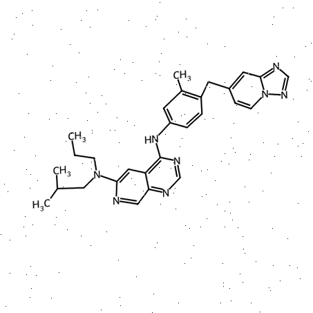 CCCN(CC(C)C)c1cc2c(Nc3ccc(Cc4ccn5ncnc5c4)c(C)c3)ncnc2cn1